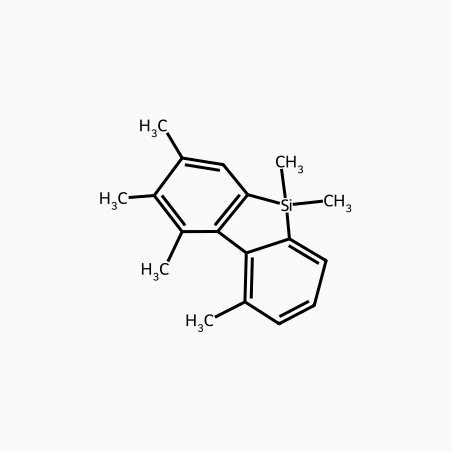 Cc1cc2c(c(C)c1C)-c1c(C)cccc1[Si]2(C)C